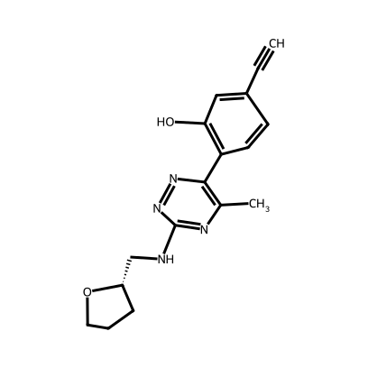 C#Cc1ccc(-c2nnc(NC[C@@H]3CCCO3)nc2C)c(O)c1